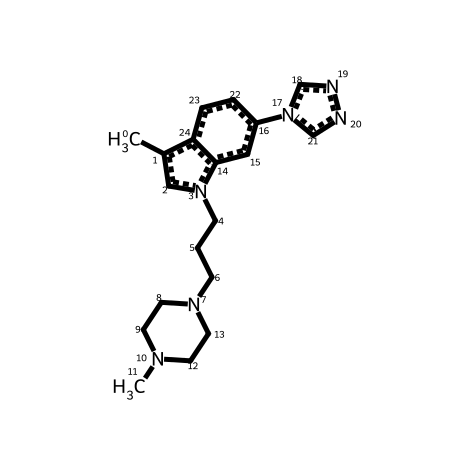 Cc1cn(CCCN2CCN(C)CC2)c2cc(-n3cnnc3)ccc12